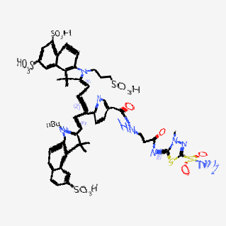 CCCC[N+]1=C(/C=C/C(=C/C=C2/N(CCCS(=O)(=O)O)c3ccc4c(S(=O)(=O)O)cc(S(=O)(=O)O)cc4c3C2(C)C)c2ccc(C(=O)NCCC(=O)/N=c3/sc(S(N)(=O)=O)nn3C)cn2)C(C)(C)c2c1ccc1ccc(S(=O)(=O)O)cc21